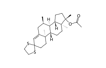 CC(=O)O[C@@]1(C)CC[C@H]2[C@@H]3[C@H](C)CC4=CC5(CC[C@]4(C)[C@H]3CC[C@@]21C)SCCS5